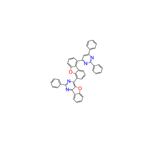 c1ccc(-c2cc(-c3cccc4oc5c(-c6nc(-c7ccccc7)nc7c6oc6ccccc67)cccc5c34)nc(-c3ccccc3)n2)cc1